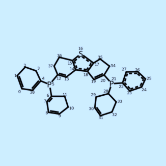 C1=CCCC(P(C2=CC=CCC2)C2=Cc3c(sc4c3C=C(P(c3ccccc3)C3CC=CCC3)CC4)CC2)=C1